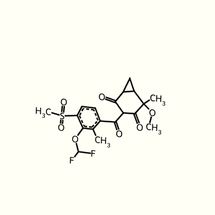 COC1(C)C(=O)C(C(=O)c2ccc(S(C)(=O)=O)c(OC(F)F)c2C)C(=O)C2CC21